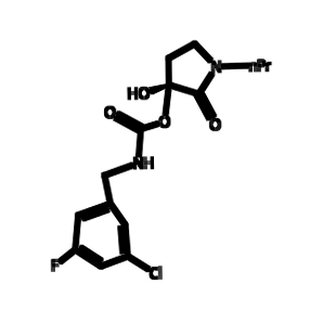 CCCN1CC[C@@](O)(OC(=O)NCc2cc(F)cc(Cl)c2)C1=O